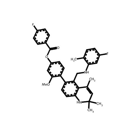 COc1cc(OC(=O)c2ccc(F)cc2)ccc1-c1ccc2c(c1CNc1cc(F)ccc1C)C(C)=CC(C)(C)N2